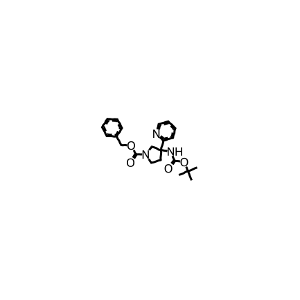 CC(C)(C)OC(=O)NC1(c2ccccn2)CCN(C(=O)OCc2ccccc2)C1